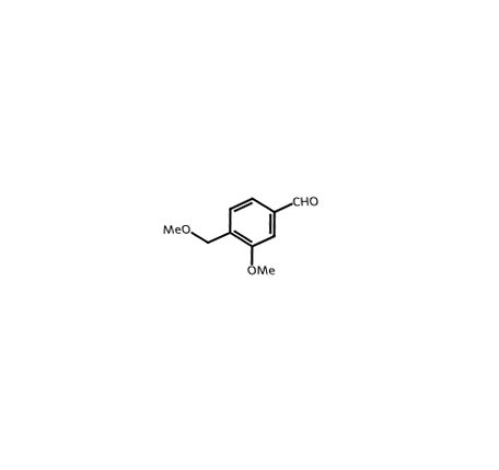 COCc1ccc(C=O)cc1OC